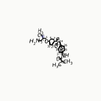 C/C=C(\CN)COc1ccc(S(=O)(=O)CC23CCC(NC(=O)C(C)C)(CC2)CC3)cc1